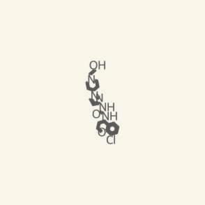 O=C(Nc1ccn(C2CCN(CCO)CC2)n1)N[C@H]1CCOc2c(Cl)cccc21